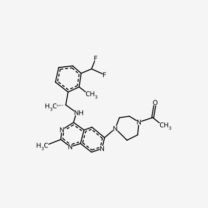 CC(=O)N1CCN(c2cc3c(N[C@H](C)c4cccc(C(F)F)c4C)nc(C)nc3cn2)CC1